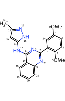 COc1ccc(OC)c(-c2nc(Nc3cc(C)n[nH]3)c3ccccc3n2)c1